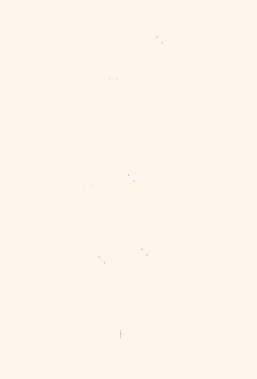 O=C(Nc1ccc(OC2CNC2)cc1)c1cnc(OCC(F)(F)F)nc1